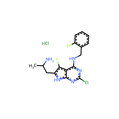 CC(N)Cc1[nH]c2nc(Cl)nc(NCc3ccccc3F)c2c1F.Cl